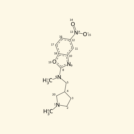 CN1CCC(CN(C)c2nc3cc([N+](=O)[O-])ccc3o2)C1